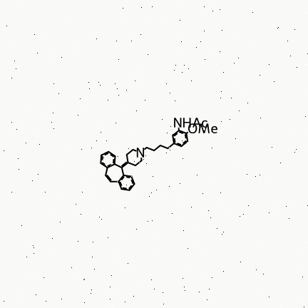 COc1ccc(CCCCN2CCC(=C3c4ccccc4C=Cc4ccccc43)CC2)cc1NC(C)=O